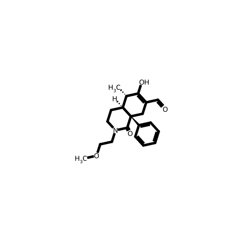 COCCN1CC[C@H]2[C@H](C)C(O)=C(C=O)C[C@]2(c2ccccc2)C1=O